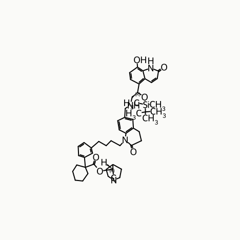 CC(C)(C)[Si](C)(C)O[C@@H](CNCc1ccc2c(c1)CCC(=O)N2CCCCc1cccc(C2(C(=O)O[C@H]3CN4CCC3CC4)CCCCC2)c1)c1ccc(O)c2[nH]c(=O)ccc12